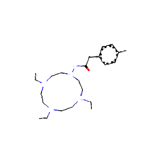 O=C(O)CN1CCN(CC(=O)O)CCN(NC(=O)Cc2ccc([N+](=O)[O-])cc2)CCN(CC(=O)O)CC1